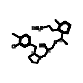 CCOC(=O)CCc1c(C)cccc1[C@@H](C)OC[C@H](O)CN1CCC[C@H]1Cc1ccc(C)c(Cl)c1